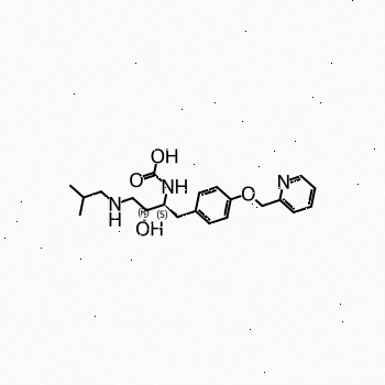 CC(C)CNC[C@@H](O)[C@H](Cc1ccc(OCc2ccccn2)cc1)NC(=O)O